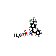 CCOC(=O)Oc1nc2c(s1)-c1ccccc1Sc1cc(C(F)(F)F)ccc1-2